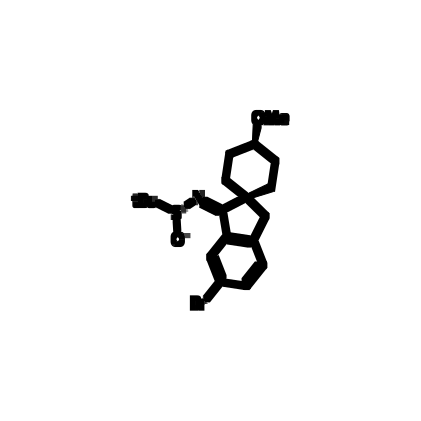 CO[C@H]1CC[C@@]2(CC1)Cc1ccc(Br)cc1C2=N[S+]([O-])C(C)(C)C